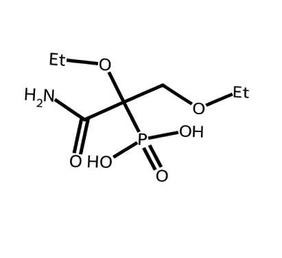 CCOCC(OCC)(C(N)=O)P(=O)(O)O